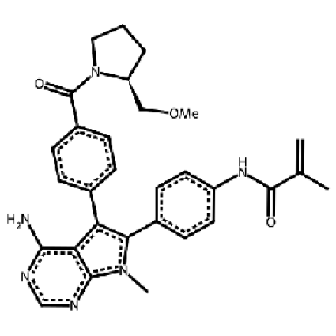 C=C(C)C(=O)Nc1ccc(-c2c(-c3ccc(C(=O)N4CCC[C@H]4COC)cc3)c3c(N)ncnc3n2C)cc1